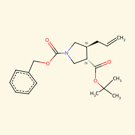 C=CC[C@@H]1CN(C(=O)OCc2ccccc2)C[C@H]1C(=O)OC(C)(C)C